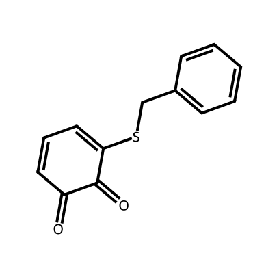 O=C1C=CC=C(SCc2ccccc2)C1=O